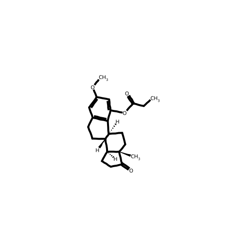 CCC(=O)Oc1cc(OC)cc2c1[C@H]1CC[C@]3(C)C(=O)CC[C@H]3[C@@H]1CC2